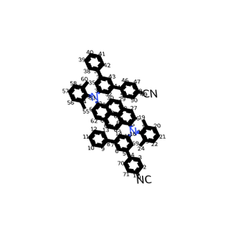 [C-]#[N+]c1ccc(-c2cc(-c3ccccc3)cc(N(c3c(C)cccc3C)c3ccc4ccc5c(N(c6cc(-c7ccccc7)cc(-c7ccc(C#N)cc7)c6)c6c(C)cccc6C)ccc6ccc3c4c65)c2)cc1